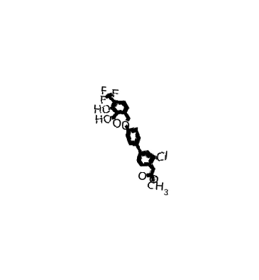 COC(=O)Cc1ccc(-c2ccc(OCc3ccc(C(F)(F)F)c(O)c3C(=O)O)cc2)cc1Cl